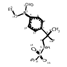 CCON(C=O)c1ccc(C(C)(F)CNS(=O)(=O)C(C)C)cc1